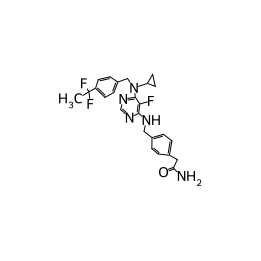 CC(F)(F)c1ccc(CN(c2ncnc(NCc3ccc(CC(N)=O)cc3)c2F)C2CC2)cc1